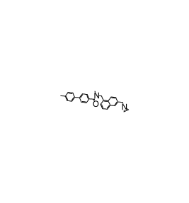 Cc1ccc(-c2ccc(C(=O)N(C)Cc3cccc4cc(CN5CC5)ccc34)cc2)cc1